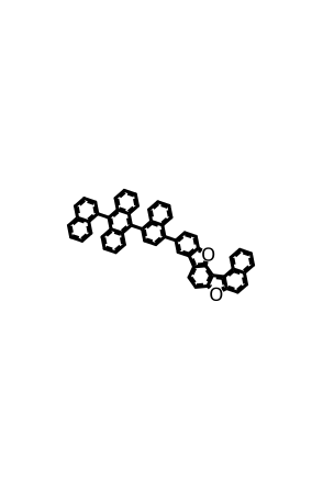 c1ccc2c(-c3c4ccccc4c(-c4ccc(-c5ccc6oc7c(ccc8oc9ccc%10ccccc%10c9c87)c6c5)c5ccccc45)c4ccccc34)cccc2c1